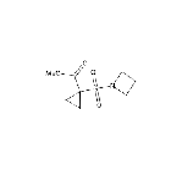 COC(=O)C1(S(=O)(=O)N2CCC2)CC1